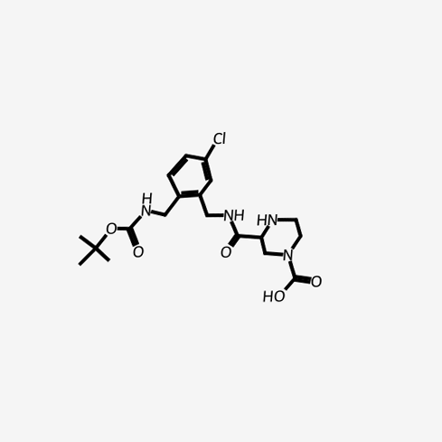 CC(C)(C)OC(=O)NCc1ccc(Cl)cc1CNC(=O)C1CN(C(=O)O)CCN1